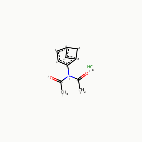 CC(=O)N(C(C)=O)c1ccc2cc1C2.Cl